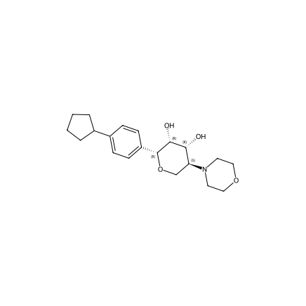 O[C@@H]1[C@H](O)[C@@H](N2CCOCC2)CO[C@@H]1c1ccc(C2CCCC2)cc1